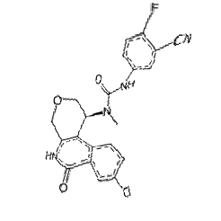 CN(C(=O)Nc1ccc(F)c(C#N)c1)[C@@H]1COCc2[nH]c(=O)c3cc(Cl)ccc3c21